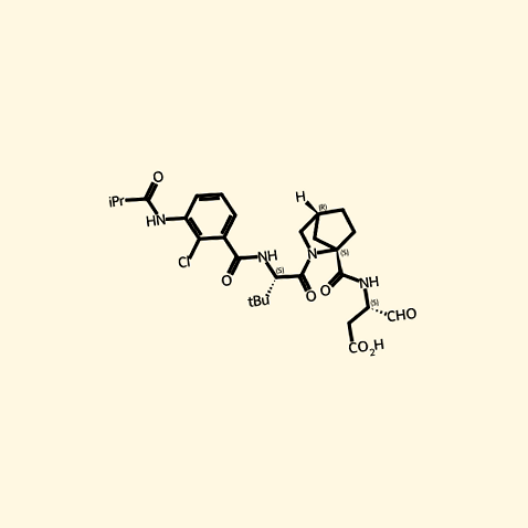 CC(C)C(=O)Nc1cccc(C(=O)N[C@H](C(=O)N2C[C@@H]3CC[C@@]2(C(=O)N[C@H](C=O)CC(=O)O)C3)C(C)(C)C)c1Cl